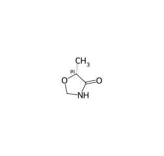 C[C@H]1OCNC1=O